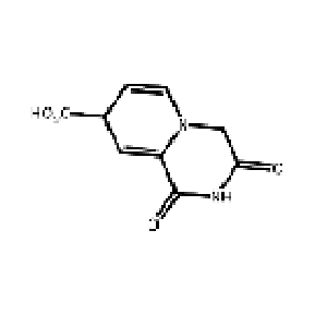 O=C1CN2C=CC(C(=O)O)C=C2C(=O)N1